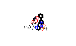 CCS(=O)(=O)NC1CCCN(C(=O)O)C1Cc1cccc(-c2ccccc2O/C=C\C(=O)OC(C)(C)C)c1